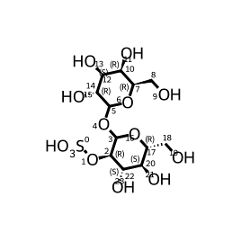 O=S(=O)(O)O[C@H]1C(OC2O[C@H](CO)[C@H](O)[C@H](O)[C@H]2O)O[C@H](CO)[C@@H](O)[C@@H]1O